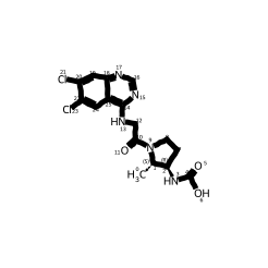 C[C@H]1[C@H](NC(=O)O)CCN1C(=O)CNc1ncnc2cc(Cl)c(Cl)cc12